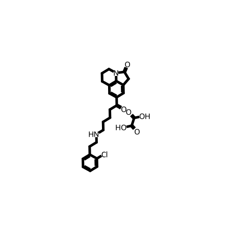 O=C(CCCCNCCc1ccccc1Cl)c1cc2c3c(c1)CC(=O)N3CCC2.O=C(O)C(=O)O